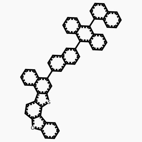 c1ccc2c(-c3c4ccccc4c(-c4ccc5cc(-c6cc7sc8c(ccc9oc%10ccccc%10c98)c7c7ccccc67)ccc5c4)c4ccccc34)cccc2c1